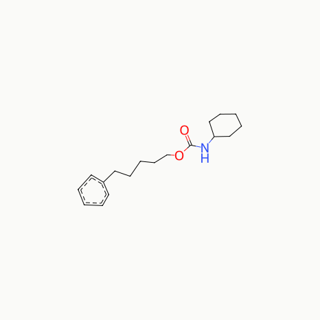 O=C(NC1CCCCC1)OCCCCCc1ccccc1